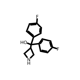 OC(c1ccc(F)cc1)(c1ccc(F)cc1)C1CNC1